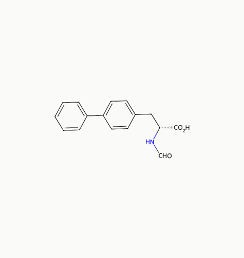 O=CN[C@H](Cc1ccc(-c2ccccc2)cc1)C(=O)O